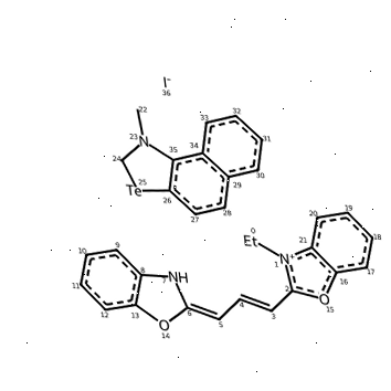 CC[n+]1c(C=CC=C2Nc3ccccc3O2)oc2ccccc21.CN1C[Te]c2ccc3ccccc3c21.[I-]